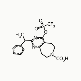 CC(c1ccccc1)c1nc2c(c(OS(=O)(=O)C(F)(F)F)n1)CCN(C(=O)O)CC2